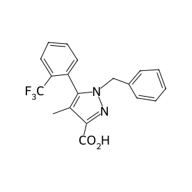 Cc1c(C(=O)O)nn(Cc2ccccc2)c1-c1ccccc1C(F)(F)F